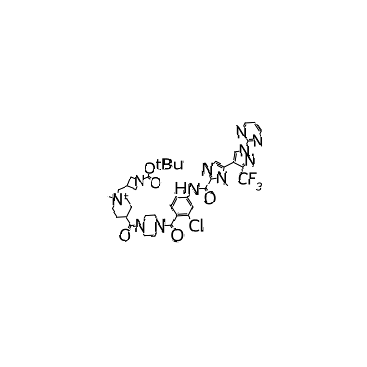 Cn1c(-c2cn(-c3ncccn3)nc2C(F)(F)F)cnc1C(=O)Nc1ccc(C(=O)N2CCN(C(=O)C3CC[N+](C)(CC4CN(C(=O)OC(C)(C)C)C4)CC3)CC2)c(Cl)c1